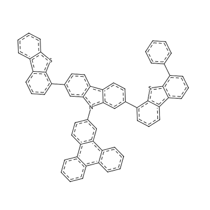 c1ccc(-c2cccc3c2sc2c(-c4ccc5c6ccc(-c7cccc8c7sc7ccccc78)cc6n(-c6ccc7c8ccccc8c8ccccc8c7c6)c5c4)cccc23)cc1